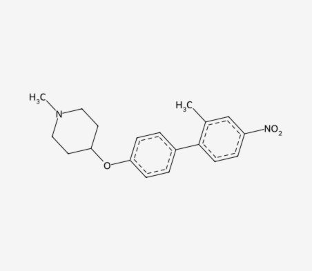 Cc1cc([N+](=O)[O-])ccc1-c1ccc(OC2CCN(C)CC2)cc1